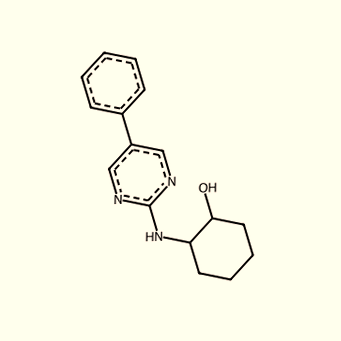 OC1CCCCC1Nc1ncc(-c2ccccc2)cn1